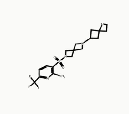 Cc1nc(C(F)(F)F)ccc1S(=O)(=O)N1CC2(CN(C3CC4(CCO4)C3)C2)C1